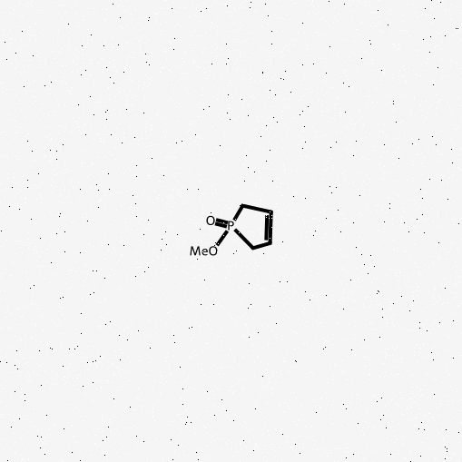 COP1(=O)CC=CC1